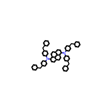 c1ccc(Cc2ccc(N(c3ccc(Cc4ccccc4)cc3)c3ccc4ccc5c(N(c6ccc(Cc7ccccc7)cc6)c6ccc(Cc7ccccc7)cc6)ccc6ccc3c4c65)cc2)cc1